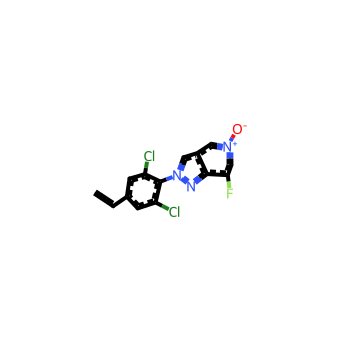 C=Cc1cc(Cl)c(-n2cc3c[n+]([O-])cc(F)c3n2)c(Cl)c1